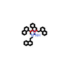 N=C(N(CCc1cccc2ccccc12)CCc1cccc2ccccc12)N(CCc1cccc2ccccc12)CCc1cccc2ccccc12